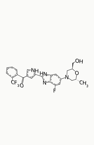 C[C@@H]1CN(c2cc(F)c3nc(-c4cc(C(=O)c5ccccc5C(F)(F)F)c[nH]4)[nH]c3c2)C[C@@H](CO)O1